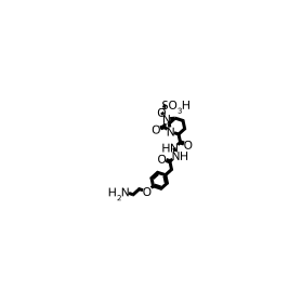 NCCOc1ccc(CC(=O)NNC(=O)C2CCC3CN2C(=O)N3OS(=O)(=O)O)cc1